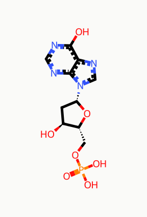 O=P(O)(O)OC[C@H]1O[C@@H](n2cnc3c(O)ncnc32)C[C@@H]1O